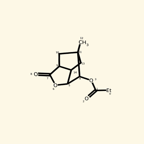 CCC(=O)OC1C2OC(=O)C3CC1(C)CC32